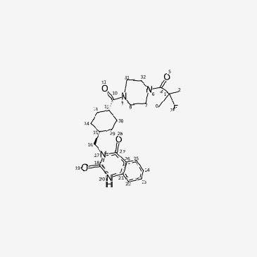 CC(C)(F)C(=O)N1CCN(C(=O)[C@H]2CC[C@H](Cn3c(=O)[nH]c4ccccc4c3=O)CC2)CC1